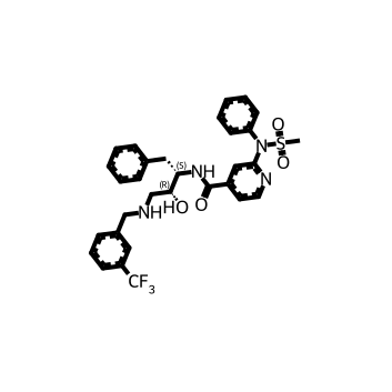 CS(=O)(=O)N(c1ccccc1)c1cc(C(=O)N[C@@H](Cc2ccccc2)[C@H](O)CNCc2cccc(C(F)(F)F)c2)ccn1